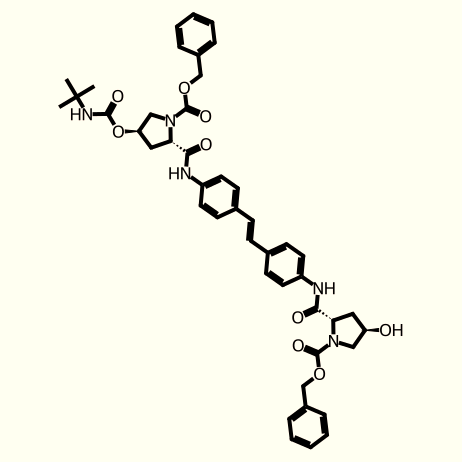 CC(C)(C)NC(=O)O[C@@H]1C[C@@H](C(=O)Nc2ccc(/C=C/c3ccc(NC(=O)[C@@H]4C[C@@H](O)CN4C(=O)OCc4ccccc4)cc3)cc2)N(C(=O)OCc2ccccc2)C1